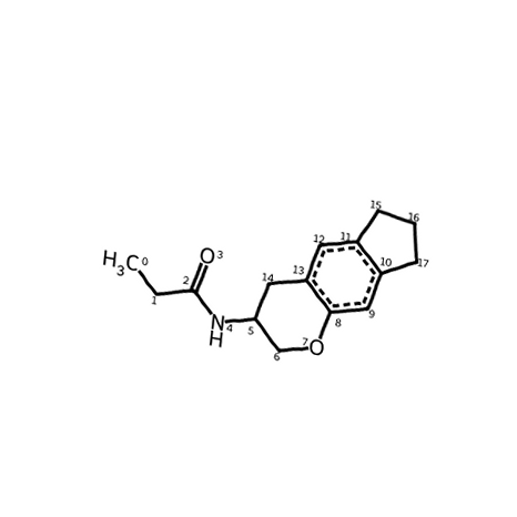 CCC(=O)NC1COc2cc3c(cc2C1)CCC3